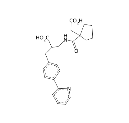 O=C(O)CC1(C(=O)NCC(Cc2ccc(-c3ccccn3)cc2)C(=O)O)CCCC1